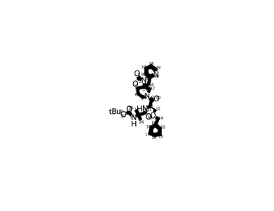 CN1C(=O)OC2CCN(C(=O)[C@@H](COCc3ccccc3)NC(=O)C(C)(C)NC(=O)OC(C)(C)C)CC21Cc1ccccn1